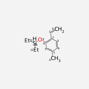 C=Cc1ccc(C)cc1O[SiH](CC)CC